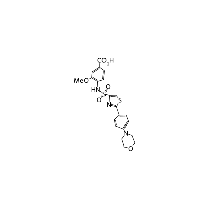 COc1cc(C(=O)O)ccc1NS(=O)(=O)c1csc(-c2ccc(N3CCOCC3)cc2)n1